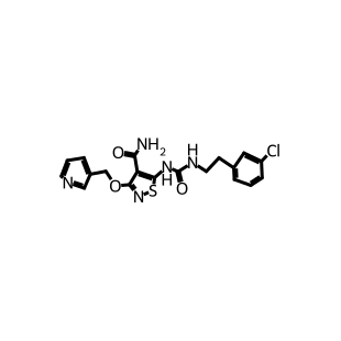 NC(=O)c1c(OCc2cccnc2)nsc1NC(=O)NCCc1cccc(Cl)c1